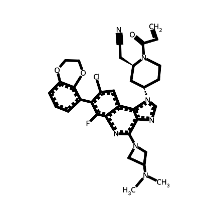 C=CC(=O)N1CC[C@H](n2cnc3c(N4CC(N(C)C)C4)nc4c(F)c(-c5cccc6c5OCCO6)c(Cl)cc4c32)C[C@H]1CC#N